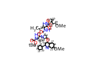 C=C[C@H]1C[C@]1(NC(=O)[C@@H]1C[C@@H](Oc2cc(-c3ccccc3)nc3cc(OC)ccc23)CN1C(=O)[C@@H](NC(=O)OC(C)(C)C)C(C)C)C(=O)NS(=O)(=O)C1(CCOC)CC1